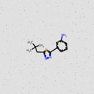 CC(C)(C)Cc1nnc(-c2cccc(N)c2)s1